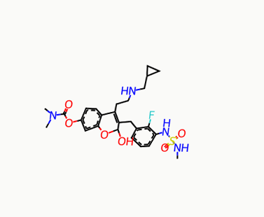 CNS(=O)(=O)Nc1cccc(CC2=C(CCNCC3CC3)c3ccc(OC(=O)N(C)C)cc3OC2O)c1F